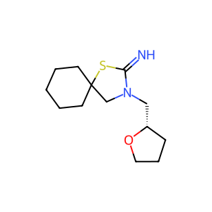 N=C1SC2(CCCCC2)CN1C[C@@H]1CCCO1